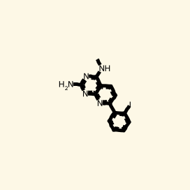 CNc1nc(N)nc2nc(-c3ccccc3I)ccc12